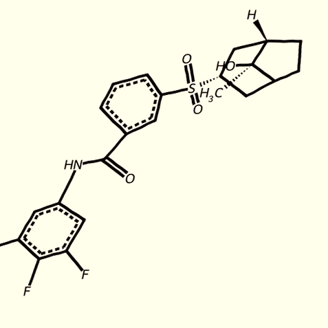 C[C@@]1(O)C2CC[C@H]1C[C@@H](S(=O)(=O)c1cccc(C(=O)Nc3cc(F)c(F)c(F)c3)c1)C2